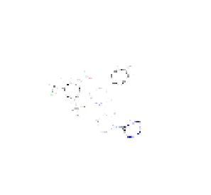 C[C@@H](O[C@H]1CCN(C2CCCN(c3cnccn3)C2)C[C@@H]1c1ccc(F)cc1)c1cc(C(F)(F)F)cc(C(F)(F)F)c1